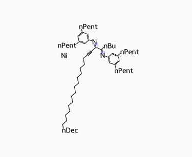 CCCCCCCCCCCCCCCCCCCCCCCCCC#CC(=N\c1cc(CCCCC)cc(CCCCC)c1)/C(CCCC)=N/c1cc(CCCCC)cc(CCCCC)c1.[Ni]